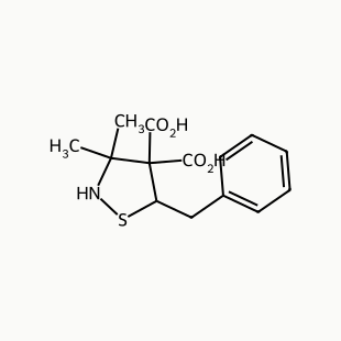 CC1(C)NSC(Cc2ccccc2)C1(C(=O)O)C(=O)O